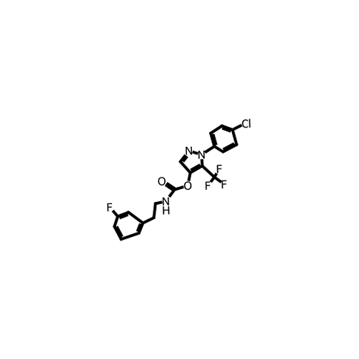 O=C(NCCc1cccc(F)c1)Oc1cnn(-c2ccc(Cl)cc2)c1C(F)(F)F